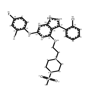 CS(=O)(=O)N1CCN(CCOc2nc(Oc3ccc(F)cc3F)nc3[nH]nc(-c4ccccc4Cl)c23)CC1